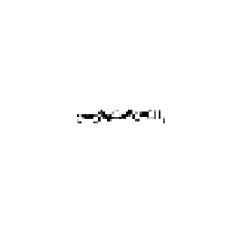 [CH]COCCOCCOCC